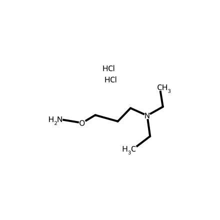 CCN(CC)CCCON.Cl.Cl